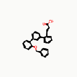 O=C(O)/C=C/c1ccccc1-c1cccc(-c2ccccc2OCc2ccccc2)c1